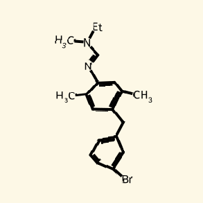 CCN(C)C=Nc1cc(C)c(Cc2cccc(Br)c2)cc1C